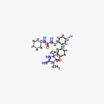 CN1C(=N)NC(C)(c2cccc(-c3cc(I)ccc3CNC(=O)NC3CCCCC3)c2)C1=O